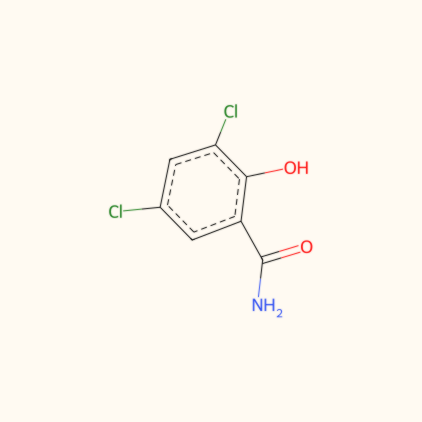 NC(=O)c1cc(Cl)cc(Cl)c1O